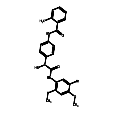 COc1cc(OC)c(NC(=O)N(S)c2ccc(NC(=O)c3ccccc3C)cc2)cc1Br